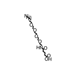 [N-]=[N+]=NCCOCCOCCOCCOCCNC(=O)CCCC(=O)O